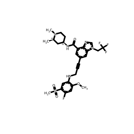 COc1cc(F)c(S(C)(=O)=O)cc1NCC#Cc1cc(C(=O)N[C@@H]2CCN(C)[C@H](C)C2)c2ncn(CC(F)(F)F)c2c1